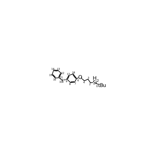 CC(C)(C)[SiH2]CCCOc1ccc([I+]c2ccccc2)cc1